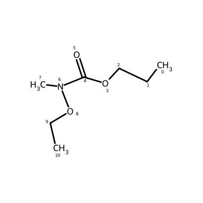 CCCOC(=O)N(C)OCC